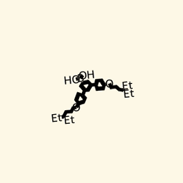 CCC(CC)CCCOc1ccc(-c2cc(B(O)O)cc(-c3ccc(OCCCC(CC)CC)cc3)c2)cc1